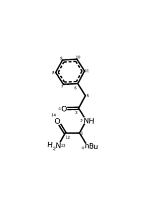 CCCCC(NC(=O)Cc1ccccc1)C(N)=O